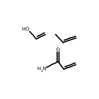 C=CC.C=CC(N)=O.C=CO